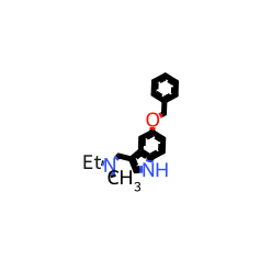 CCN(C)Cc1c[nH]c2ccc(OCc3ccccc3)cc12